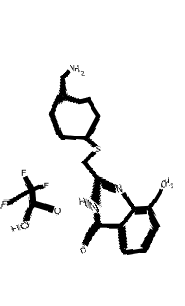 Cc1cccc2c(=O)[nH]c(CSC3CCC(CN)CC3)nc12.O=C(O)C(F)(F)F